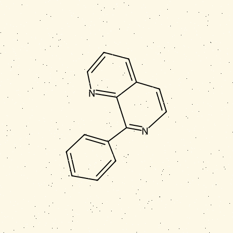 [c]1ccc(-c2nccc3cccnc23)cc1